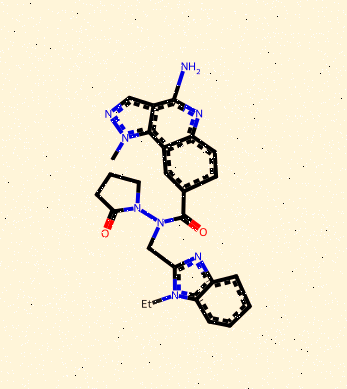 CCn1c(CN(C(=O)c2ccc3nc(N)c4cnn(C)c4c3c2)N2CCCC2=O)nc2ccccc21